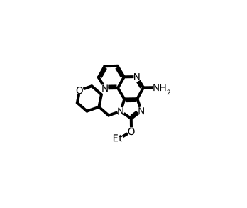 CCOc1nc2c(N)nc3cccnc3c2n1CC1CCOCC1